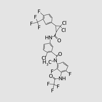 CN(C(=O)c1cc(NC(=O)[C@H]2C(c3ccc(F)c(C(F)(F)F)c3)C2(Cl)Cl)ccc1Cl)c1ccc(F)c(NC(=O)C(F)(F)F)c1F